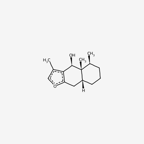 Cc1coc2c1[C@@H](O)[C@@]1(C)[C@H](CCC[C@@H]1C)C2